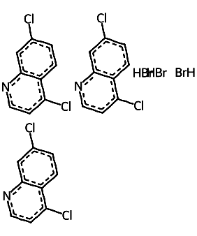 Br.Br.Br.Clc1ccc2c(Cl)ccnc2c1.Clc1ccc2c(Cl)ccnc2c1.Clc1ccc2c(Cl)ccnc2c1